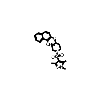 Cc1nn(C)c(C)c1S(=O)(=O)N1CCC(Oc2ccc3ccccc3c2C=O)CC1